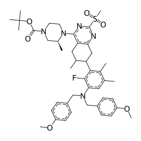 COc1ccc(CN(Cc2ccc(OC)cc2)c2cc(C)c(C)c(C3Cc4nc(S(C)(=O)=O)nc(N5CCN(C(=O)OC(C)(C)C)C[C@@H]5C)c4CC3C)c2F)cc1